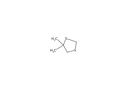 CC1(C)CSCS1